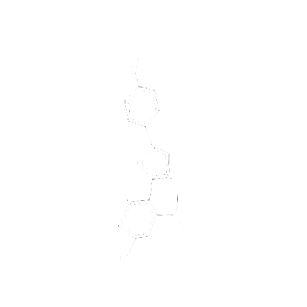 CC[S+]([O-])c1cc(Br)cnc1-c1cn(-c2ccc(OC(F)(F)F)cc2)cn1